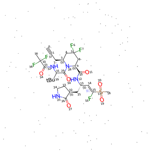 C#CC[C@H]1CC(F)(F)C[C@@H](C(=O)N[C@H](/C=C(\F)S(C)(=O)=O)C[C@@H]2CCNC2=O)N1C(=O)C(NC(=O)C(C)(F)F)C(C)(C)C